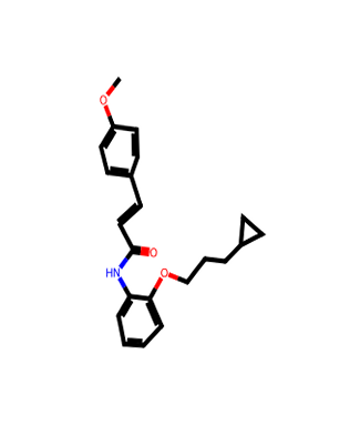 COc1ccc(/C=C/C(=O)Nc2ccccc2OCCCC2CC2)cc1